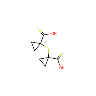 OC(=S)C1(SC2(C(O)=S)CC2)CC1